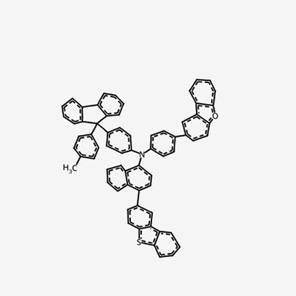 Cc1ccc(C2(c3ccc(N(c4ccc(-c5ccc6oc7ccccc7c6c5)cc4)c4ccc(-c5ccc6sc7ccccc7c6c5)c5ccccc45)cc3)c3ccccc3-c3ccccc32)cc1